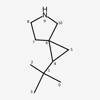 CC(C)(C)C1CC12CCNC2